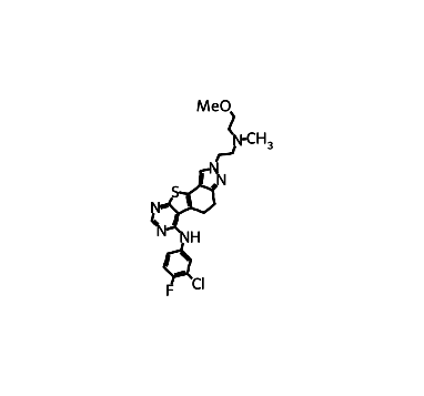 COCCN(C)CCn1cc2c(n1)CCc1c-2sc2ncnc(Nc3ccc(F)c(Cl)c3)c12